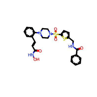 O=C(/C=C/c1ccccc1N1CCN(S(=O)(=O)c2ccc(CNC(=O)c3ccccc3)s2)CC1)NO